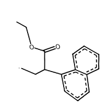 [CH2]CC(C(=O)OCC)c1cccc2ccccc12